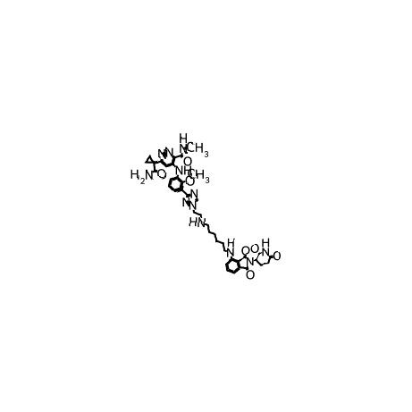 CNC(=O)c1nnc(C2(C(N)=O)CC2)cc1Nc1cccc(-c2ncn(CCNCCCCCCNc3cccc4c3C(=O)N(C3CCC(=O)NC3=O)C4=O)n2)c1OC